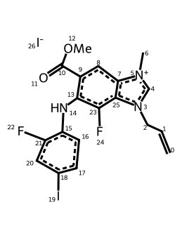 C=CCn1c[n+](C)c2cc(C(=O)OC)c(Nc3ccc(I)cc3F)c(F)c21.[I-]